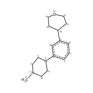 CN1CCN(c2cc[c]c(C3CCOCC3)c2)CC1